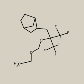 CCOCOC(CC1CC2CCC1C2)(C(F)(F)F)C(F)(F)F